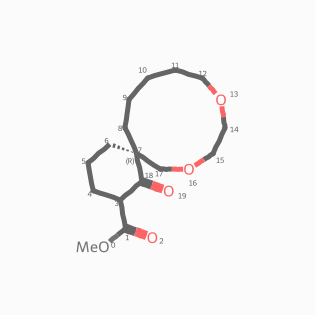 COC(=O)C1CCC[C@@]2(CCCCCOCCOC2)C1=O